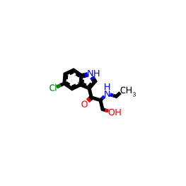 CCNC(CO)C(=O)c1c[nH]c2ccc(Cl)cc12